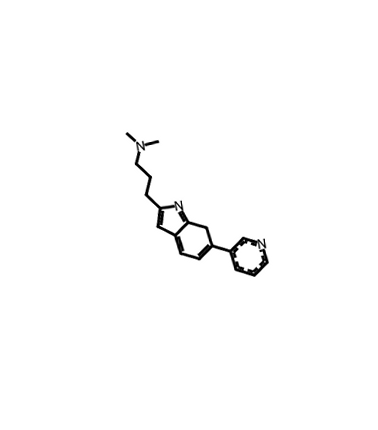 CN(C)CCCC1=CC2=CC=C(c3cccnc3)CC2=N1